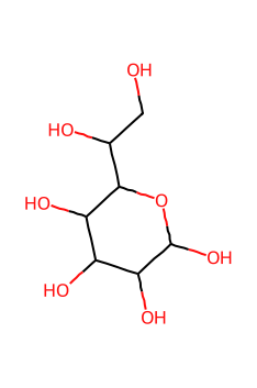 OCC(O)C1OC(O)C(O)C(O)C1O